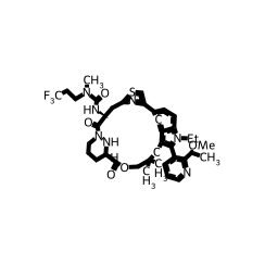 CCn1c(-c2cccnc2[C@H](C)OC)c2c3cc(ccc31)-c1csc(n1)C[C@H](NC(=O)N(C)CCC(F)(F)F)C(=O)N1CCC[C@H](N1)C(=O)OCC(C)(C)C2